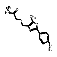 CCCNC(=O)CSCc1nc(-c2ccc(OCC)cc2)oc1C